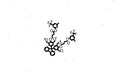 COCc1cc(C2(c3cc(COC)c(OCCCC(=O)Oc4cc(C)cc(C(F)(F)F)c4)c(COC)c3)c3ccccc3-c3ccccc32)cc(COC)c1OCCCC(=O)Oc1cc(C)cc(C(F)(F)F)c1